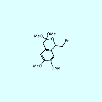 COc1cc2c(cc1OC)C(CBr)OC(OC)(OC)C2